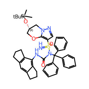 CC(C)(C)[Si](C)(C)O[C@H]1COc2c(S(=N)(=O)N(C(=O)Nc3c4c(cc5c3CCC5)CCC4)C(c3ccccc3)(c3ccccc3)c3ccccc3)cnn2C1